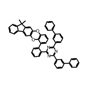 CC1(C)c2ccccc2-c2cc3c(cc21)Oc1cccc(-c2ccccc2-c2nc(-c4cccc(-c5ccccc5)c4)nc(-c4cccc(-c5ccccc5)c4)n2)c1O3